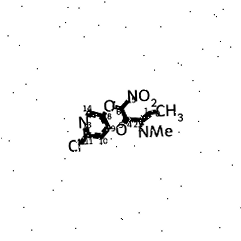 CC=C(NC)C(=O)C(Oc1ccc(Cl)nc1)[N+](=O)[O-]